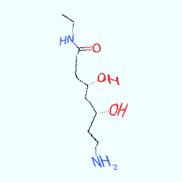 CCNC(=O)C[C@H](O)C[C@H](O)CCN